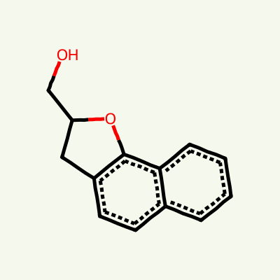 OCC1Cc2ccc3ccccc3c2O1